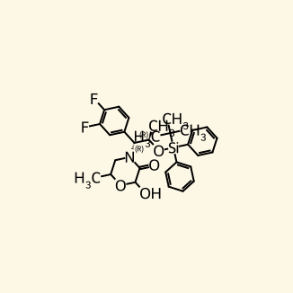 CC1CN([C@H](c2ccc(F)c(F)c2)[C@@H](C)O[Si](c2ccccc2)(c2ccccc2)C(C)(C)C)C(=O)C(O)O1